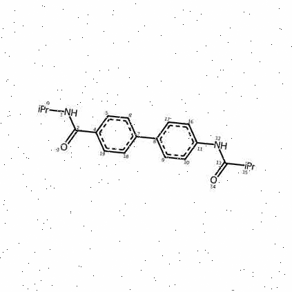 CC(C)NC(=O)c1ccc(-c2ccc(NC(=O)C(C)C)cc2)cc1